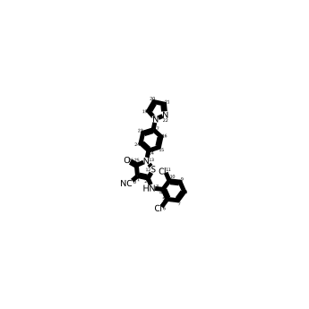 N#Cc1c(Nc2c(Cl)cccc2Cl)sn(-c2ccc(-n3cccn3)cc2)c1=O